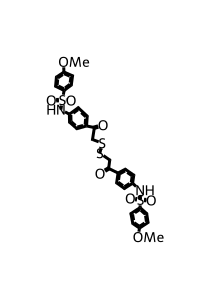 COc1ccc(S(=O)(=O)Nc2ccc(C(=O)CSSCC(=O)c3ccc(NS(=O)(=O)c4ccc(OC)cc4)cc3)cc2)cc1